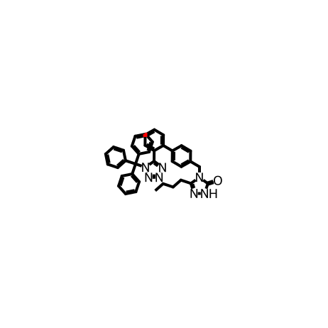 CCCCc1n[nH]c(=O)n1Cc1ccc(-c2ccccc2-c2nnnn2C(c2ccccc2)(c2ccccc2)c2ccccc2)cc1